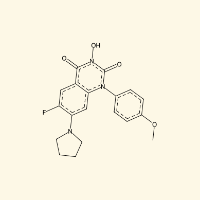 COc1ccc(-n2c(=O)n(O)c(=O)c3cc(F)c(N4CCCC4)cc32)cc1